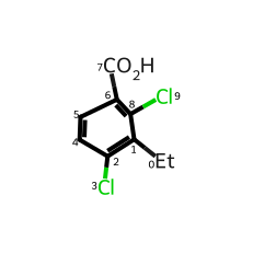 CCc1c(Cl)ccc(C(=O)O)c1Cl